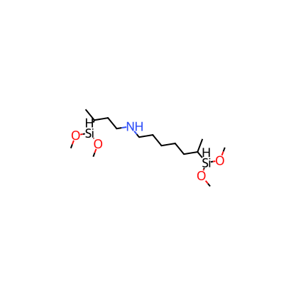 CO[SiH](OC)C(C)CCCCCNCCC(C)[SiH](OC)OC